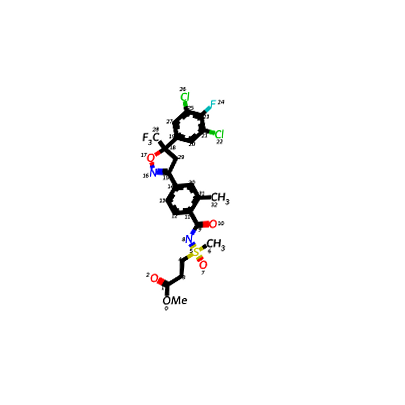 COC(=O)CCS(C)(=O)=NC(=O)c1ccc(C2=NOC(c3cc(Cl)c(F)c(Cl)c3)(C(F)(F)F)C2)cc1C